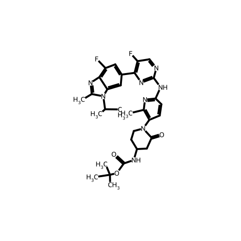 Cc1nc(Nc2ncc(F)c(-c3cc(F)c4nc(C)n(C(C)C)c4c3)n2)ccc1N1CCC(NC(=O)OC(C)(C)C)CC1=O